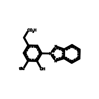 CC(C)(C)c1cc(CC(=O)O)cc(-n2nc3ccccc3n2)c1O